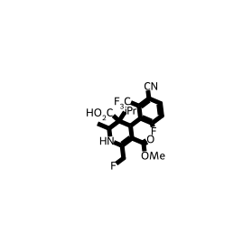 COC(=O)C1=C(CF)NC(C)C(C(=O)O)(C(C)C)C1c1c(F)ccc(C#N)c1C(F)(F)F